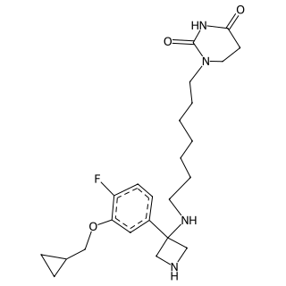 O=C1CCN(CCCCCCCNC2(c3ccc(F)c(OCC4CC4)c3)CNC2)C(=O)N1